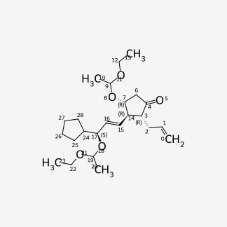 C=CC[C@H]1C(=O)C[C@@H](OC(C)OCC)[C@@H]1C=C[C@@H](OC(C)OCC)C1CCCC1